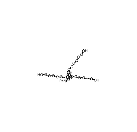 CCC[C@@H](C)[C@H]1CC[C@H]2[C@@H]3[C@H](OCCOCCOCCOCCCCCOCCO)C[C@@H]4C[C@H](OCCOCCOCCOCCOCCOCCO)CC[C@]4(C)[C@H]3C[C@H](OCCOCCOCCOCCOCCOCCO)[C@]12C